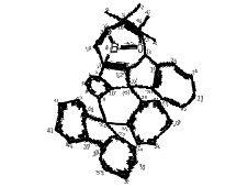 CC1(C)OB(c2cccc3c2[C@]2(C4=CC=CC=CC4C4=C2C=CCC=C4)c2ccccc2C32c3ccccc3-c3ccccc32)OC1(C)C